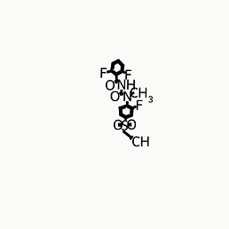 C#CCS(=O)(=O)c1ccc(N(C)C(=O)NC(=O)c2c(F)cccc2F)c(F)c1